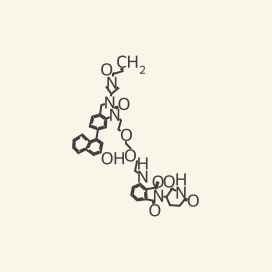 C=CC(=O)N1CC(N2Cc3ccc(-c4cc(O)cc5ccccc45)cc3N(CCOCCOCCNc3cccc4c3C(=O)N(C3CCC(=O)NC3=O)C4=O)C2=O)C1